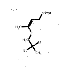 CCCCCCCCC=C(C)O[SiH2]C(C)(CC)CC